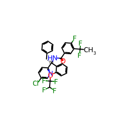 CC(F)(F)c1cc(C(=O)N[C@](Cc2ccccc2)(c2ccc(Cl)cn2)c2ccccc2OC(F)(F)C(F)F)ccc1F